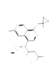 CC(C)CC(C)[C@@H](N[SH]=O)c1cnc(OC2(C)CC2)c2cnc(Cl)cc12